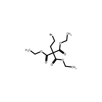 CCOC(=O)C(CCBr)(C(=O)OCC)C(=O)OCC